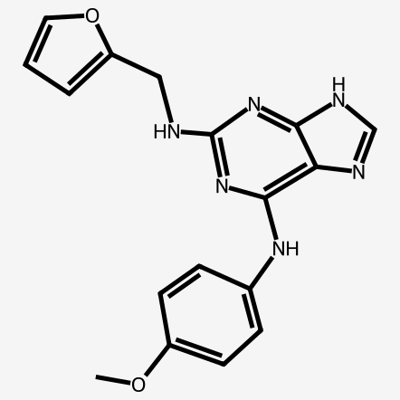 COc1ccc(Nc2nc(NCc3ccco3)nc3[nH]cnc23)cc1